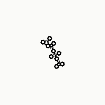 c1ccc(-n2c3ccccc3c3ccc4c(c5ccccc5n4-c4ccc([Si](c5ccccc5)(c5ccccc5)c5ccc(-n6c7ccccc7c7ccccc76)cc5)cc4)c32)cc1